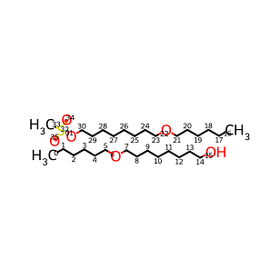 CCCCCCOCCCCCCCCO.CCCCCCOCCCCCCCCOS(C)(=O)=O